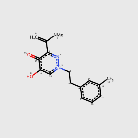 C=C(NC)c1nn(CCc2cccc(C(F)(F)F)c2)cc(O)c1=O